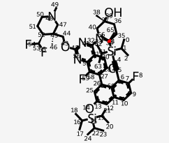 CC(C)[Si](C#Cc1c(F)ccc2cc(O[Si](C(C)C)(C(C)C)C(C)C)cc(-c3c(Cl)cc4c(N5CCC[C@@](C)(O)C5)nc(OC[C@]5(C)CN(C)CC[C@@H]5C(F)F)nc4c3F)c12)(C(C)C)C(C)C